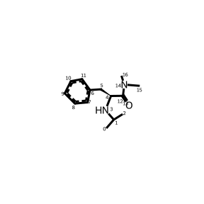 CC(C)N[C@@H](Cc1ccccc1)C(=O)N(C)C